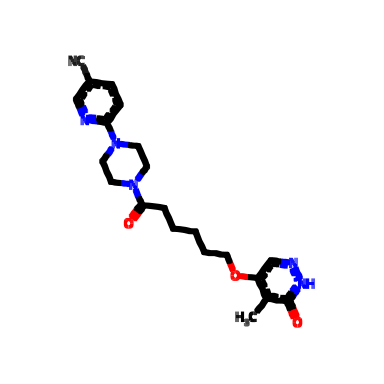 Cc1c(OCCCCCC(=O)N2CCN(c3ccc(C#N)cn3)CC2)cn[nH]c1=O